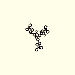 CC1(C)c2cc(-c3cccc4c(N(C5=CC=CCC5)c5ccccc5)cccc34)ccc2-n2c3ccc(-c4cccc5c4C=CCC5N(c4ccccc4)c4ccccc4)cc3c3cc(-c4cccc5c(N(c6ccccc6)c6ccccc6)cccc45)cc1c32